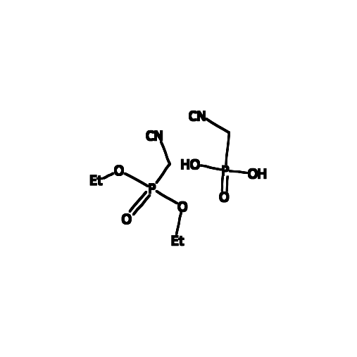 [C-]#[N+]CP(=O)(O)O.[C-]#[N+]CP(=O)(OCC)OCC